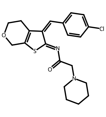 O=C(CN1CCCCC1)/N=C1\SC2=C(CCOC2)\C1=C\c1ccc(Cl)cc1